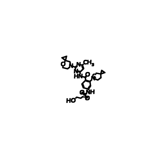 Cc1cc(NC(=O)c2ccc(NS(=O)(=O)CCO)cc2N2CCC3(CC2)CC3)nc(N2CCOC3(CC3)C2)n1